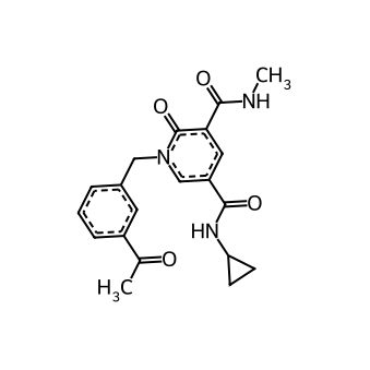 CNC(=O)c1cc(C(=O)NC2CC2)cn(Cc2cccc(C(C)=O)c2)c1=O